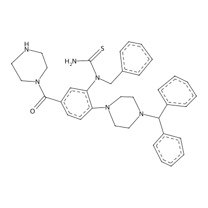 NC(=S)N(Cc1ccccc1)c1cc(C(=O)N2CCNCC2)ccc1N1CCN(C(c2ccccc2)c2ccccc2)CC1